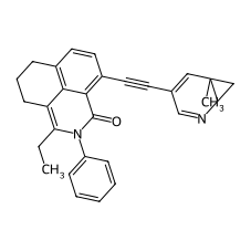 CCc1c2c3c(ccc(C#CC4=CC5(C)CC5N=C4)c3c(=O)n1-c1ccccc1)CCC2